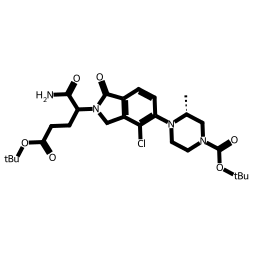 C[C@@H]1CN(C(=O)OC(C)(C)C)CCN1c1ccc2c(c1Cl)CN(C(CCC(=O)OC(C)(C)C)C(N)=O)C2=O